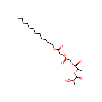 CCCCCCCCCCCCOC(=O)COC(=O)COC(=O)C(C)OC(=O)C(C)O